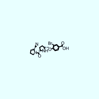 N#C[C@@H]1CCCN1C(=O)[C@@H]1CC[C@H](COc2ccc(C(=O)O)cc2Br)N1